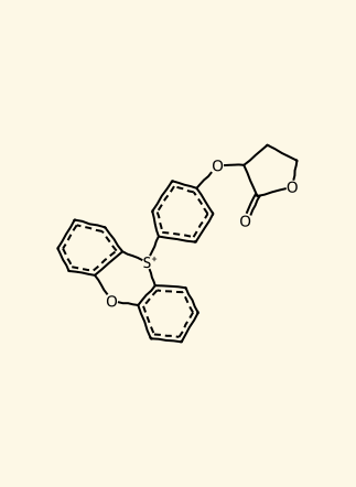 O=C1OCCC1Oc1ccc([S+]2c3ccccc3Oc3ccccc32)cc1